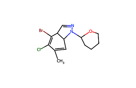 CC1=CC2C(C=NN2C2CCCCO2)C(Br)=C1Cl